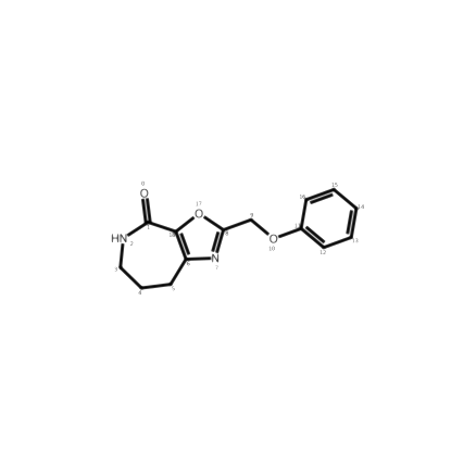 O=C1NCCCc2nc(COc3ccccc3)oc21